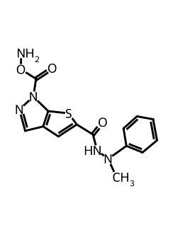 CN(NC(=O)c1cc2cnn(C(=O)ON)c2s1)c1ccccc1